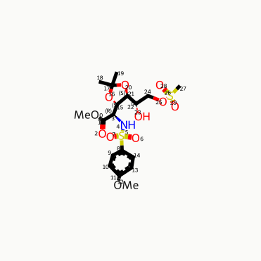 COC(=O)[C@H](NS(=O)(=O)c1ccc(OC)cc1)[C@@H]1OC(C)(C)O[C@H]1[C@@H](O)COS(C)(=O)=O